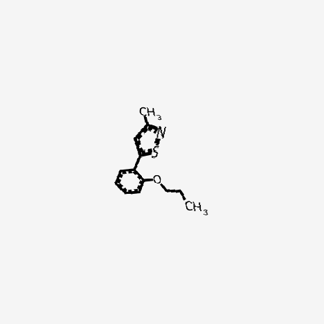 CCCOc1ccccc1-c1cc(C)ns1